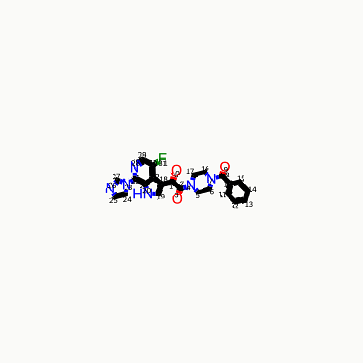 O=C(C(=O)N1CCN(C(=O)c2ccccc2)CC1)c1c[nH]c2c(-n3ccnc3)ncc(F)c12